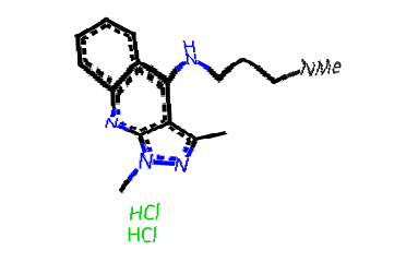 CNCCCNc1c2ccccc2nc2c1c(C)nn2C.Cl.Cl